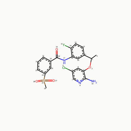 CC(Oc1cc(Cl)cnc1N)c1ccc(F)c(NC(=O)c2cccc(S(C)(=O)=O)c2)c1